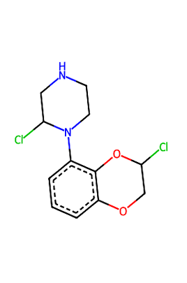 ClC1COc2cccc(N3CCNCC3Cl)c2O1